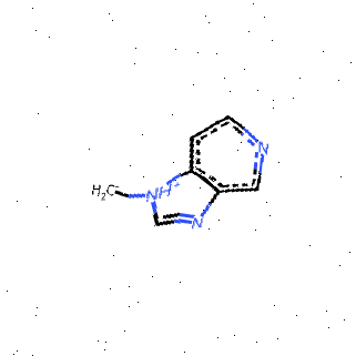 [CH2-][NH+]1C=Nc2cnccc21